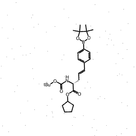 CC(C)(C)OC(=O)N[C@H](C/C=C/c1ccc(B2OC(C)(C)C(C)(C)O2)cc1)C(=O)OC1CCCC1